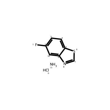 Cl.Fc1ccc2scnc2c1.N